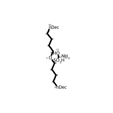 CCCCCCCCCCCCCCOCCCCCCCCCCCCCC.N.O=S(=O)(O)O